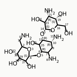 NCC1O[C@@H](O[C@@H]2C(N)C[C@@H](N)[C@@H](O[C@H]3OC(CO)[C@@H](O)[C@@H](N)C3O)C2O)C(O)[C@@H](O)[C@@H]1O